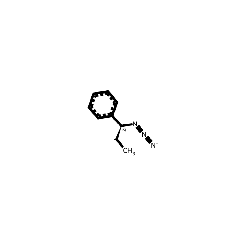 C[CH][C@H](N=[N+]=[N-])c1ccccc1